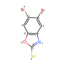 Sc1nc2cc(Br)c(Br)cc2o1